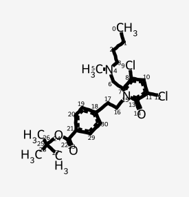 CCCCN(C)Cc1c(Cl)cc(Cl)c(=O)n1CCc1ccc(C(=O)OC(C)(C)C)cc1